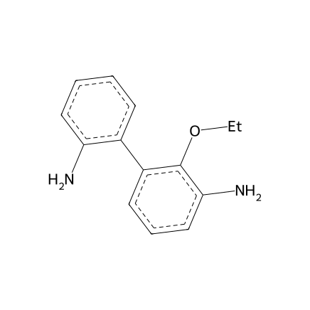 CCOc1c(N)cccc1-c1ccccc1N